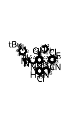 CC(C)(C)N1CCC(n2cc(C(Nc3cc(Cl)c4ncc(C#N)c(Nc5ccc(F)c(Cl)c5)c4c3)c3cccc(C(=O)N4CCCC4)c3)nn2)CC1